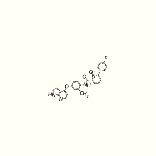 Cc1cc(Oc2ccnc3[nH]ccc23)ccc1NC(=O)c1cccc(-c2ccc(F)cc2)[n+]1[O-]